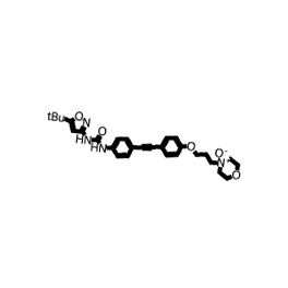 CC(C)(C)c1cc(NC(=O)Nc2ccc(C#Cc3ccc(OCCC[N+]4([O-])CCOCC4)cc3)cc2)no1